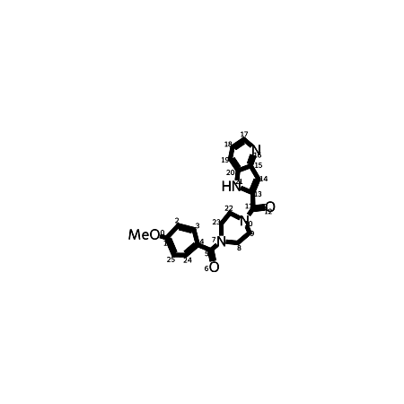 COc1ccc(C(=O)N2CCN(C(=O)c3cc4ncccc4[nH]3)CC2)cc1